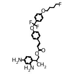 [CH2]C(COC(=O)/C=C/c1ccc(OC(F)(F)c2ccc(OCCCCF)cc2)cc1)c1ccc(N)cc1N